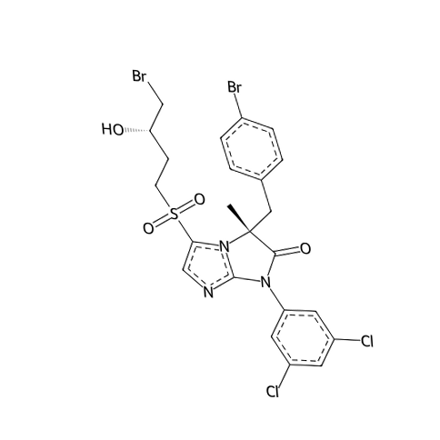 C[C@@]1(Cc2ccc(Br)cc2)C(=O)N(c2cc(Cl)cc(Cl)c2)c2ncc(S(=O)(=O)CC[C@H](O)CBr)n21